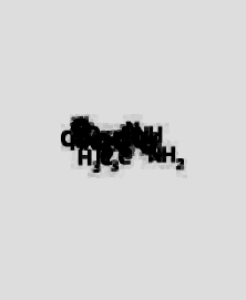 CCc1cc(NS(=O)(=O)c2ccccc2Cl)ccc1-c1cc(CC)c2nc(N[C@H]3CC[C@H](N)CC3)ncc2c1